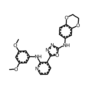 COc1cc(Nc2ncccc2-c2nnc(Nc3ccc4c(c3)OCCO4)o2)cc(OC)c1